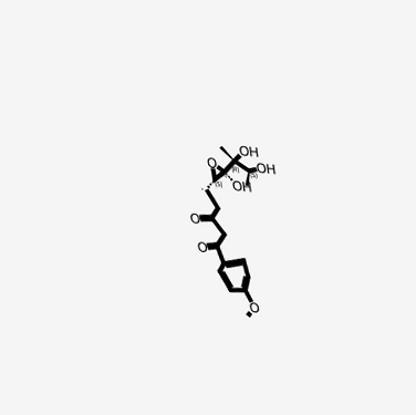 COc1ccc(C(=O)CC(=O)C[CH][C@@H]2O[C@@]2(O)[C@](C)(O)[C@H](C)O)cc1